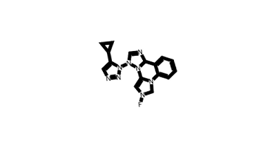 FN1C=C2N(C1)c1ccccc1C1N=CN(n3nncc3C3CC3)N21